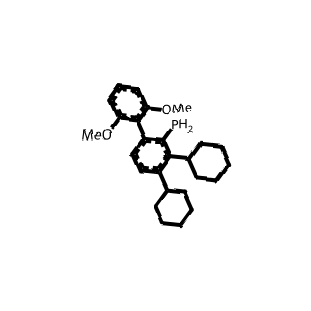 COc1cccc(OC)c1-c1ccc(C2CCCCC2)c(C2CCCCC2)c1P